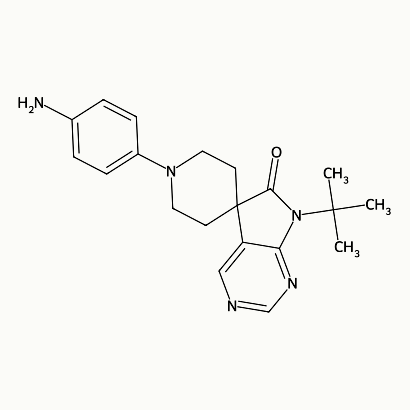 CC(C)(C)N1C(=O)C2(CCN(c3ccc(N)cc3)CC2)c2cncnc21